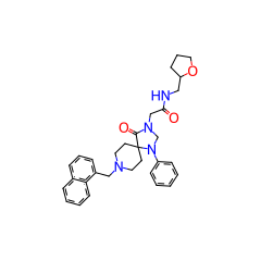 O=C(CN1CN(c2ccccc2)C2(CCN(Cc3cccc4ccccc34)CC2)C1=O)NCC1CCCO1